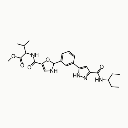 CCC(CC)NC(=O)c1cc(-c2cccc(C3NC=C(C(=O)NC(C(=O)OC)C(C)C)O3)c2)[nH]n1